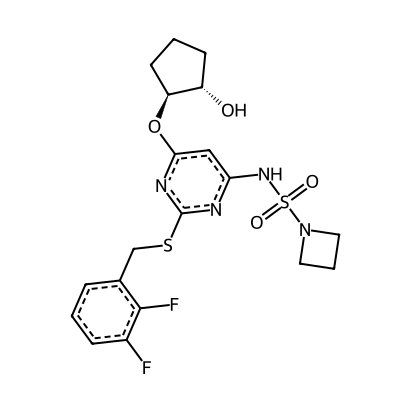 O=S(=O)(Nc1cc(O[C@H]2CCC[C@@H]2O)nc(SCc2cccc(F)c2F)n1)N1CCC1